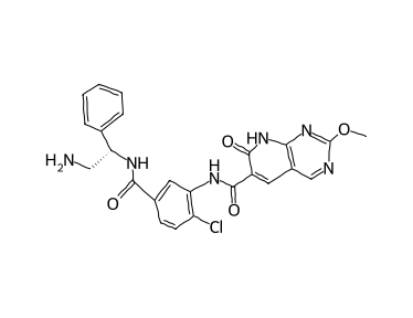 COc1ncc2cc(C(=O)Nc3cc(C(=O)N[C@H](CN)c4ccccc4)ccc3Cl)c(=O)[nH]c2n1